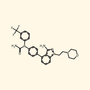 NC(=O)N(c1ccc(-c2cccc3c2c(N)nn3CCN2CCOCC2)cc1)c1cccc(C(F)(F)F)c1